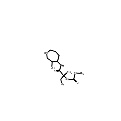 CC(C)CC(C)(NC(=O)OC(C)(C)C)C(=O)NC1CCCNCC1O